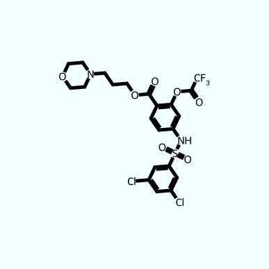 O=C(OCCCN1CCOCC1)c1ccc(NS(=O)(=O)c2cc(Cl)cc(Cl)c2)cc1OC(=O)C(F)(F)F